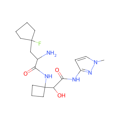 Cn1ccc(NC(=O)C(O)C2(NC(=O)C(N)CC3(F)CCCC3)CCC2)n1